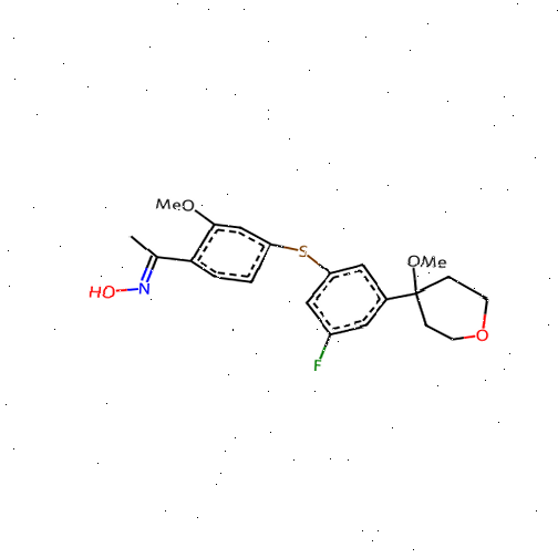 COc1cc(Sc2cc(F)cc(C3(OC)CCOCC3)c2)ccc1/C(C)=N/O